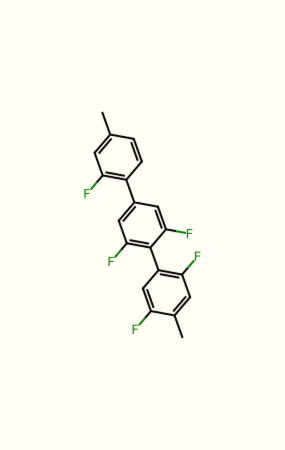 Cc1ccc(-c2cc(F)c(-c3cc(F)c(C)cc3F)c(F)c2)c(F)c1